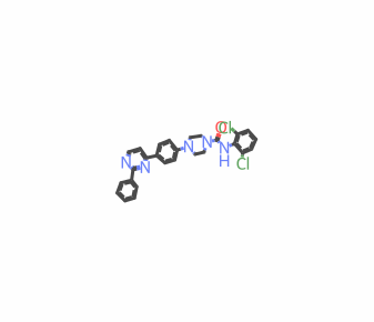 O=C(Nc1c(Cl)cccc1Cl)N1CCN(c2ccc(-c3ccnc(-c4ccccc4)n3)cc2)CC1